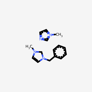 CN1C=CN(Cc2ccccc2)C1.Cn1ccnc1